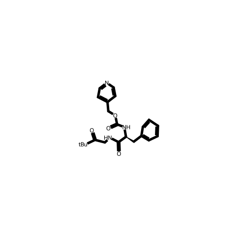 CC(C)(C)C(=O)CNC(=O)[C@H](Cc1ccccc1)NC(=O)OCc1ccncc1